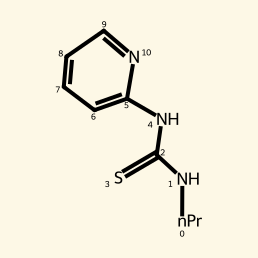 CCCNC(=S)Nc1ccccn1